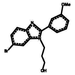 COc1cccc(-c2nc3ccc(Br)cc3n2CCCO)c1